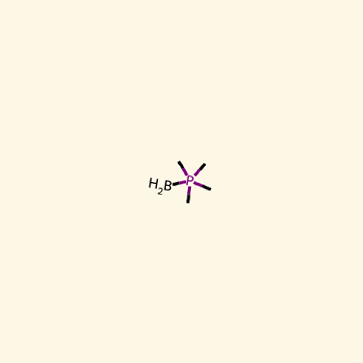 BP(C)(C)(C)C